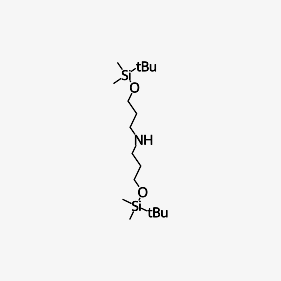 CC(C)(C)[Si](C)(C)OCCCNCCCO[Si](C)(C)C(C)(C)C